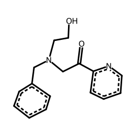 O=C(CN(CCO)Cc1ccccc1)c1ccccn1